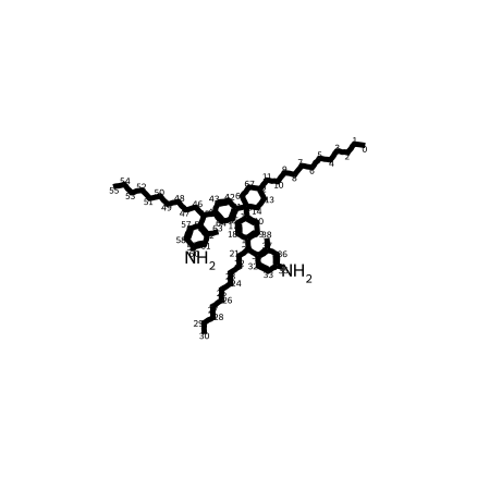 CCCCCCCCCCCCC1CCC(c2ccc(C(CCCCCCCCCC)c3ccc(N)cc3C)cc2)(c2ccc(C(CCCCCCCCCC)c3ccc(N)cc3C)cc2)CC1